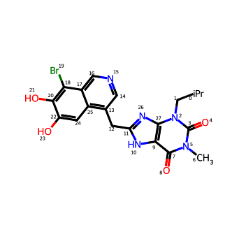 CC(C)Cn1c(=O)n(C)c(=O)c2[nH]c(Cc3cncc4c(Br)c(O)c(O)cc34)nc21